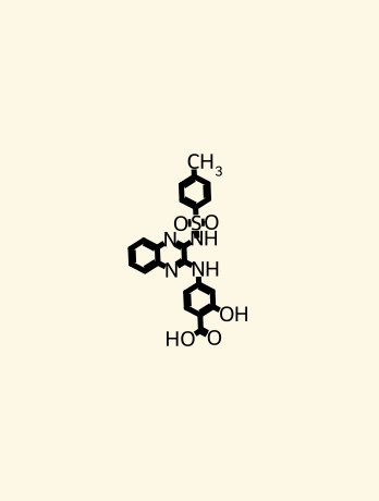 Cc1ccc(S(=O)(=O)Nc2nc3ccccc3nc2Nc2ccc(C(=O)O)c(O)c2)cc1